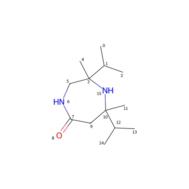 CC(C)C1(C)CNC(=O)CC(C)(C(C)C)N1